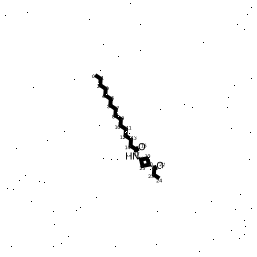 CCCCCCCCCCCCCCCC(=O)N[C@H]1C[C@H](C(=O)CC)C1